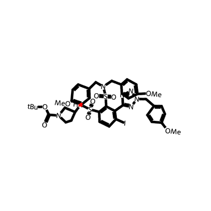 COc1ccc(CN(Cc2ccc(OC)cc2)S(=O)(=O)c2c(S(=O)(=O)NC3CCN(C(=O)OC(C)(C)C)C3)ccc(I)c2-c2nnn(Cc3ccc(OC)cc3)n2)cc1